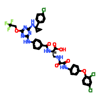 O=C(NC[C@H](NC(=O)c1ccc(Nc2nc(NC3(c4ccc(Cl)cc4)CC3)nc(OCC(F)(F)F)n2)cc1)C(=O)O)C(=O)Nc1ccc(Oc2ccc(Cl)cc2Cl)cc1